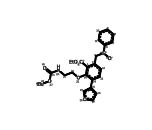 CCOC(=O)c1c(C[S+]([O-])c2ccccc2)ccc(-c2ccoc2)c1OCCNC(=O)OC(C)(C)C